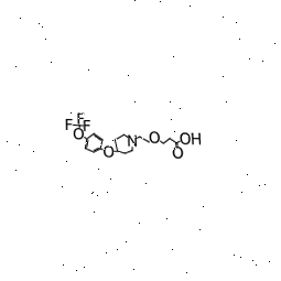 O=C(O)CCOCCN1CCC(Oc2ccc(OC(F)(F)F)cc2)CC1